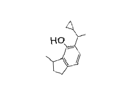 CC1CCc2ccc(C(C)C3CC3)c(O)c21